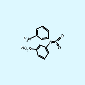 Nc1ccccc1.O=S(=O)=Nc1cccc(S(=O)(=O)O)c1